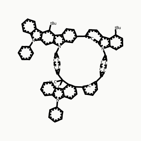 CC(C)(C)c1cccc2c1c1ccc3cc1n2-c1ccc(cc1)-c1cccc(c1)-c1ccc2c(c1C(C)(C)c1ccc(cc1)-n1c4cc-3ccc4c3c(C(C)(C)C)c4c5ccccc5n(-c5ccccc5)c4cc31)c1ccccc1n2-c1ccccc1